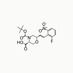 CC(C)(C)OC(=O)N1C[C@@H](C=Cc2c(F)cccc2[N+](=O)[O-])OC[C@H]1C(=O)O